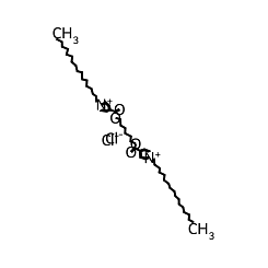 CCCCCCCCCCCCCCCCCC[n+]1ccc(C(=O)OCCCCCCOC(=O)c2cc[n+](CCCCCCCCCCCCCCCCCC)cc2)cc1.[Cl-].[Cl-]